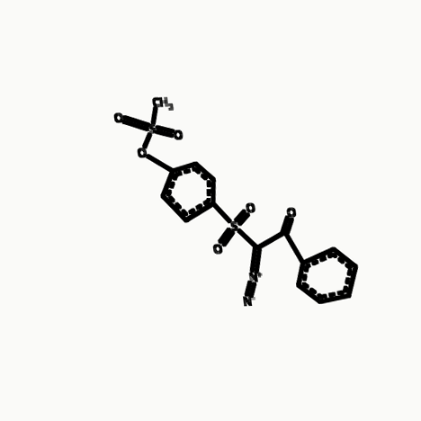 CS(=O)(=O)Oc1ccc(S(=O)(=O)C(=[N+]=[N-])C(=O)c2ccccc2)cc1